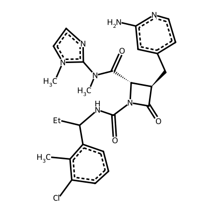 CCC(NC(=O)N1C(=O)[C@H](Cc2ccnc(N)c2)[C@H]1C(=O)N(C)c1nccn1C)c1cccc(Cl)c1C